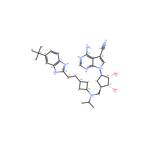 CC(C)N(C[C@H]1C[C@@H](n2cc(C#N)c3c(N)ncnc32)[C@H](O)[C@@H]1O)C1CC(CCc2nc3ccc(C(C)(C)C)cc3[nH]2)C1